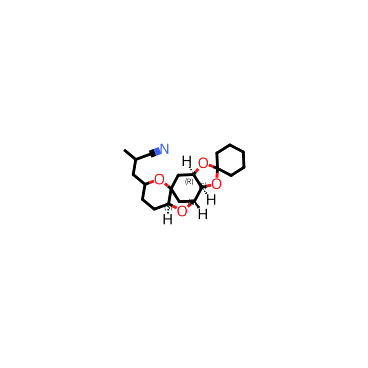 CC(C#N)CC1CC[C@@H]2O[C@@H]3CC2(C[C@H]2OC4(CCCCC4)O[C@@H]32)O1